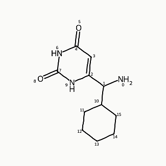 NC(c1cc(=O)[nH]c(=O)[nH]1)C1CCCCC1